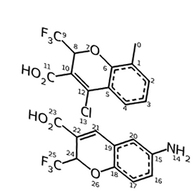 Cc1cccc2c1OC(C(F)(F)F)C(C(=O)O)=C2Cl.Nc1ccc2c(c1)C=C(C(=O)O)C(C(F)(F)F)O2